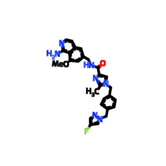 COc1cc(CNC(=O)c2cn(Cc3ccc(Cn4cc(F)cn4)cc3)c(C)n2)cc2ccnc(N)c12